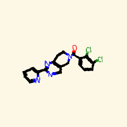 O=C(c1cccc(Cl)c1Cl)N1CCc2nc(-c3ccccn3)ncc2C1